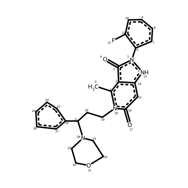 Cc1c2c(=O)n(-c3ccccc3F)[nH]c2cc(=O)n1CCC(c1ccccc1)N1CCOCC1